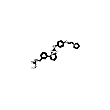 CC(C)(C)OC(=O)NCc1cccc(-c2cccc3nc(Nc4ccc(OCCN5CCCC5)cc4)nn23)c1